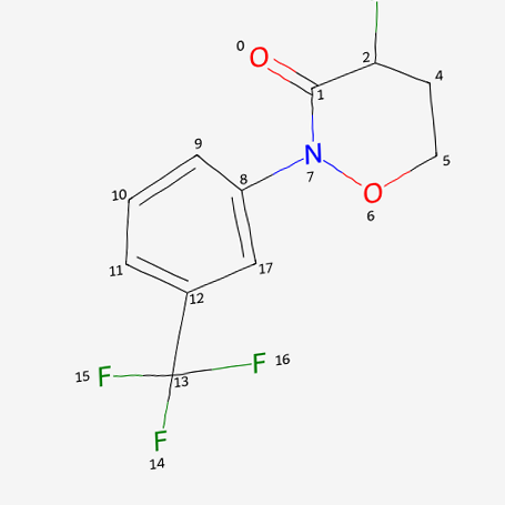 O=C1C(Br)CCON1c1cccc(C(F)(F)F)c1